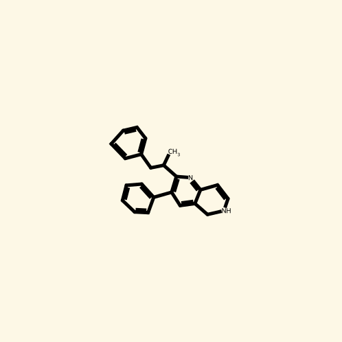 CC(Cc1ccccc1)c1nc2c(cc1-c1ccccc1)CNC=C2